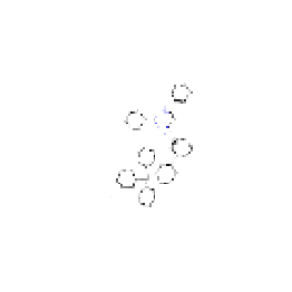 CC(C)(C)c1ccc2c(c1)C1(c3ccccc3-c3ccc(-c4cccc(-c5cc(-c6ccccc6)nc(-c6ccccc6)n5)c4)cc31)c1cc(C(C)(C)C)ccc1-2